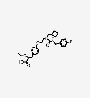 CCOC(Cc1ccc(OCCN(CC2CCC2)C(=O)NCc2ccc(F)cc2)cc1)C(=O)O